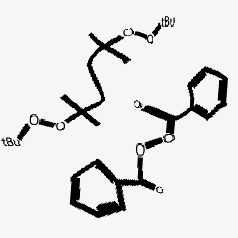 CC(C)(C)OOC(C)(C)CCC(C)(C)OOC(C)(C)C.O=C(OOC(=O)c1ccccc1)c1ccccc1